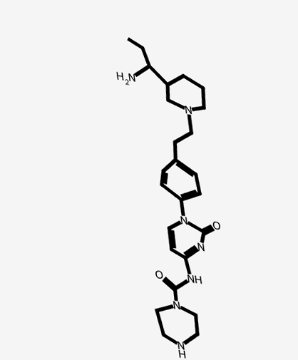 CCC(N)C1CCCN(CCc2ccc(-n3ccc(NC(=O)N4CCNCC4)nc3=O)cc2)C1